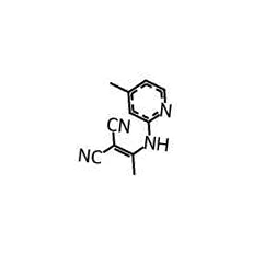 CC(Nc1cc(C)ccn1)=C(C#N)C#N